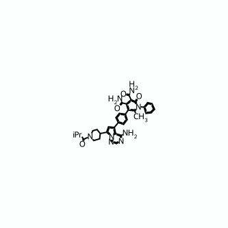 Cc1c(-c2ccc(-c3cc(C4CCN(C(=O)C(C)C)CC4)n4ncnc(N)c34)cc2)c(C(N)=O)c(C(N)=O)c(=O)n1-c1ccccc1